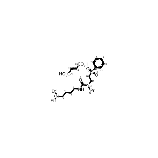 CCN(CC)CCCCNC(=O)N(CCS(=O)(=O)c1ccccc1)C(C)C.O=C(O)C=CC(=O)O